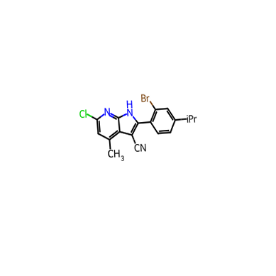 Cc1cc(Cl)nc2[nH]c(-c3ccc(C(C)C)cc3Br)c(C#N)c12